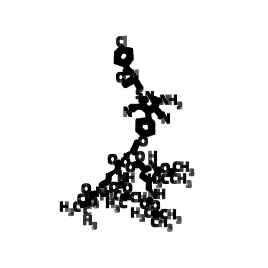 CC(C)(C)OC(=O)NCCC[C@H](NC(=O)OC(C)(C)C)C(=O)OC[C@H](COc1ccc(-c2c(C#N)c(N)nc(SCc3coc(-c4ccc(Cl)cc4)n3)c2C#N)cc1)OC(=O)[C@H](CCCNC(=O)OC(C)(C)C)NC(=O)OC(C)(C)C